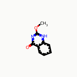 COc1nc(=O)c2c[c]ccc2[nH]1